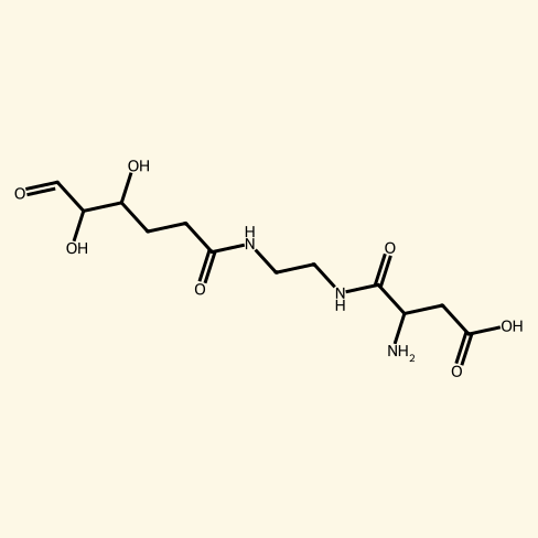 NC(CC(=O)O)C(=O)NCCNC(=O)CCC(O)C(O)C=O